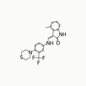 Cc1cccc2c1C(=CNc1ccc(N3CCSCC3)c(C(F)(F)F)c1)C(=O)N2